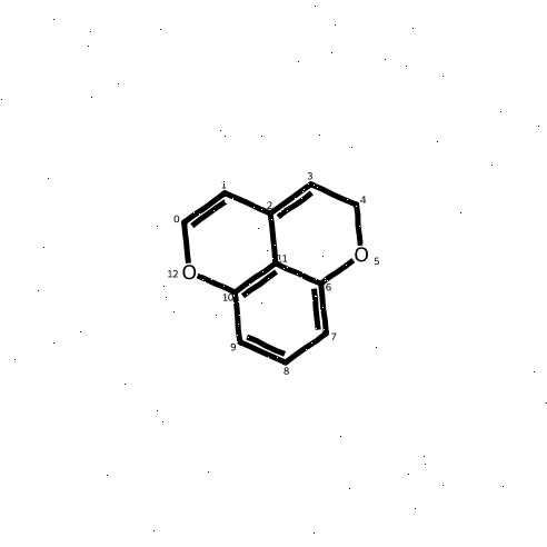 C1=CC2=CCOc3cccc(c32)O1